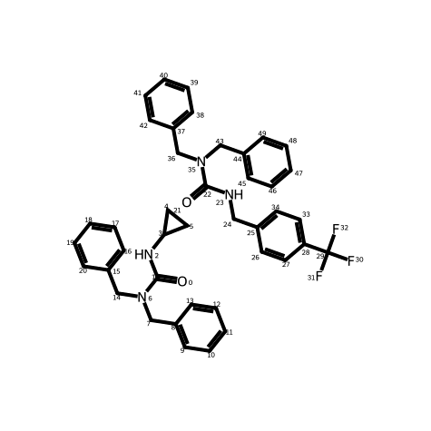 O=C(NC1CC1)N(Cc1ccccc1)Cc1ccccc1.O=C(NCc1ccc(C(F)(F)F)cc1)N(Cc1ccccc1)Cc1ccccc1